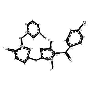 Cc1cc(Cc2ccc(=O)n(Cc3cccc(F)c3)n2)n(C)c1C(=O)c1ccc(Cl)cc1